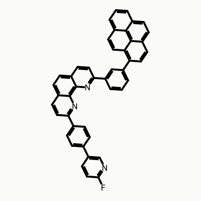 Fc1ccc(-c2ccc(-c3ccc4ccc5ccc(-c6cccc(-c7ccc8ccc9cccc%10ccc7c8c9%10)c6)nc5c4n3)cc2)cn1